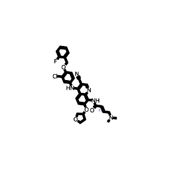 CN(C)C/C=C/C(=O)Nc1c(OC2CCOC2)ccc2c(Nc3ccc(OCc4ccccc4F)c(Cl)c3)c(C#N)cnc12